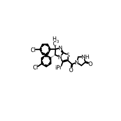 CC(C)C1=C(C(=O)N2CNC(=O)C2)SC2=N[C@@](C)(c3ccc(Cl)cc3)[C@@H](c3ccc(Cl)cc3)N21